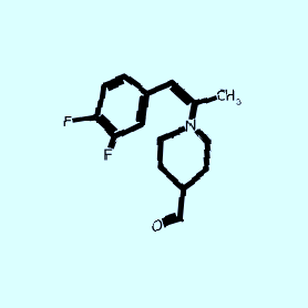 CC(=Cc1ccc(F)c(F)c1)N1CCC(C=O)CC1